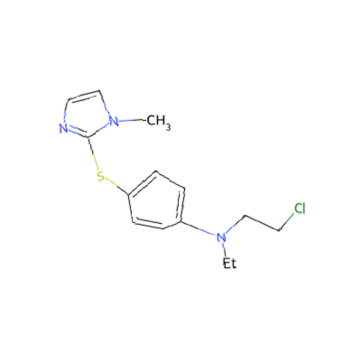 CCN(CCCl)c1ccc(Sc2nccn2C)cc1